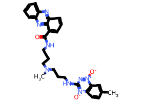 Cc1ccc2c(c1)[n+]([O-])nc(NCCCN(C)CCCNC(=O)c1cccc3nc4ccccc4nc13)[n+]2[O-]